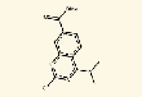 COC(=O)c1ccc2c(N(C)C)nc(Cl)nc2c1